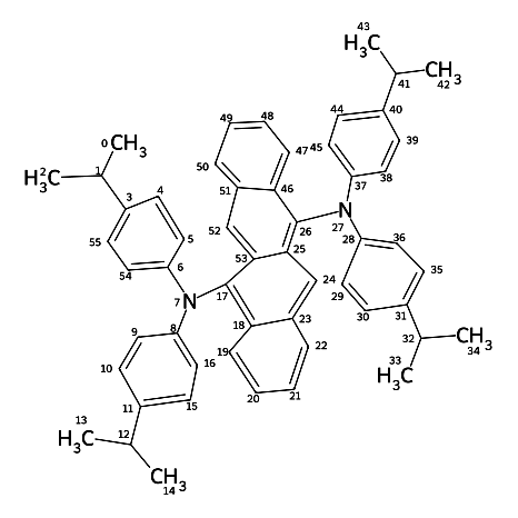 CC(C)c1ccc(N(c2ccc(C(C)C)cc2)c2c3ccccc3cc3c(N(c4ccc(C(C)C)cc4)c4ccc(C(C)C)cc4)c4ccccc4cc23)cc1